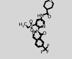 CCS(=O)(=O)c1cc(NC(=O)C2CCOCC2)cnc1-n1ncc2ccc(C(F)(F)F)cc2c1=O